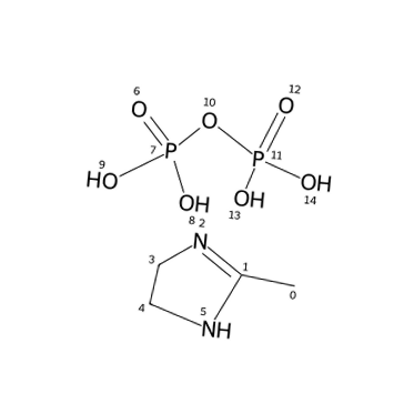 CC1=NCCN1.O=P(O)(O)OP(=O)(O)O